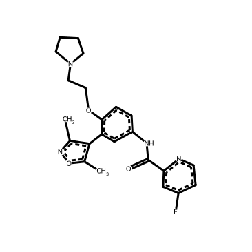 Cc1noc(C)c1-c1cc(NC(=O)c2cc(F)ccn2)ccc1OCCN1CCCC1